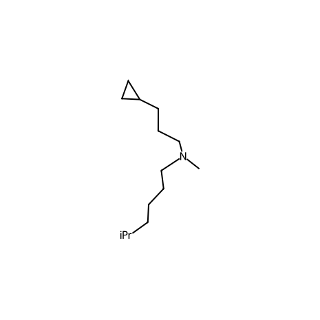 CC(C)CCCCN(C)CCCC1CC1